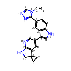 Cn1cnnc1-c1ccc2[nH]cc(-c3cnc4c(c3)C3(CC3)CN4)c2c1